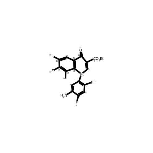 CCOC(=O)c1cn(-c2cc(N)c(F)cc2F)c2c(C)c(F)c(F)cc2c1=O